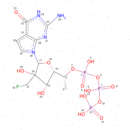 C[C@@H](OP(=O)(O)OP(=O)(O)OP(=O)(O)O)[C@H]1OC(n2ccc3c(=O)[nH]c(N)nc32)C(O)(CF)[C@H]1O